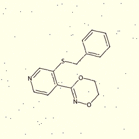 c1ccc(CSc2cnccc2C2=NOCCO2)cc1